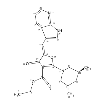 CCOC(=O)C1=C(N2C[C@@H](C)C[C@H](C)C2)OC(=Cc2c[nH]c3ncccc23)C1=O